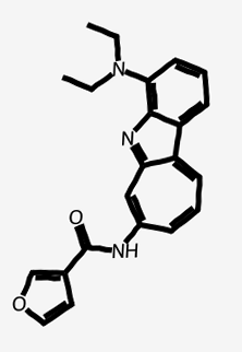 CCN(CC)c1cccc2c3cccc(NC(=O)c4ccoc4)cc-3nc12